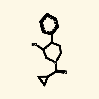 O=C(C1CC1)N1CCC(c2ccccc2)C(O)C1